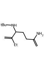 C=C(N)CCC(NC(C)(C)C)C(=C)CC